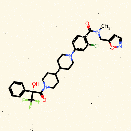 CN(Cc1ccno1)C(=O)c1ccc(N2CCC(C3CCN(C(=O)[C@](O)(c4ccccc4)C(F)(F)F)CC3)CC2)cc1Cl